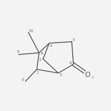 CC1C2CC(CC2=O)C1(C)C